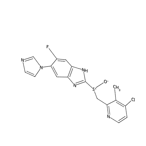 Cc1c(Cl)ccnc1C[S+]([O-])c1nc2cc(-n3ccnc3)c(F)cc2[nH]1